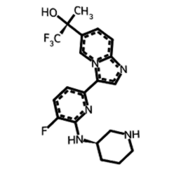 C[C@@](O)(c1ccc2ncc(-c3ccc(F)c(N[C@@H]4CCCNC4)n3)n2c1)C(F)(F)F